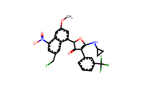 COc1cc(C2OC(NC3CC3)=C(c3cccc(C(F)(F)F)c3)C2=O)c2cc(CF)cc([N+](=O)[O-])c2c1